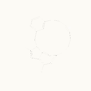 Nc1nc2nc3c1nc(O)n3Cc1cc(ccn1)OC/C=C\CCO2